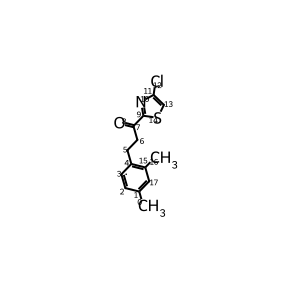 Cc1c[c]c(CCC(=O)c2nc(Cl)cs2)c(C)c1